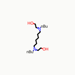 CCCCN(CCO)CCCCCCN(CCO)CCCC